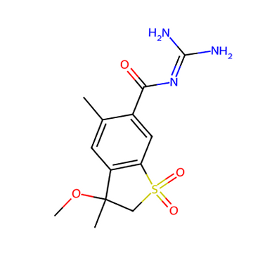 COC1(C)CS(=O)(=O)c2cc(C(=O)N=C(N)N)c(C)cc21